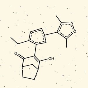 CCc1ccc(-c2c(C)noc2C)cc1C1=C(O)C2CCC(C2)C1=O